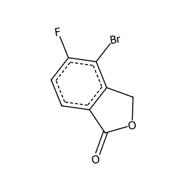 O=C1OCc2c1ccc(F)c2Br